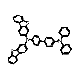 c1ccc(N(c2ccccc2)c2ccc(-c3ccc(N(c4ccc5c(c4)sc4ccccc45)c4ccc5c(c4)sc4ccccc45)cc3)cc2)cc1